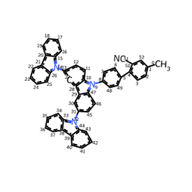 Cc1ccc(-c2ccc(-n3c4ccc(-n5c6ccccc6c6ccccc65)cc4c4cc(-n5c6ccccc6c6ccccc65)ccc43)cc2)c(C#N)c1